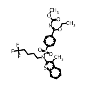 CCO/C(=N\C(=O)OC)c1ccc(S(=O)(=O)N(CCCCC(F)(F)F)c2sc3ccccc3c2C)cc1